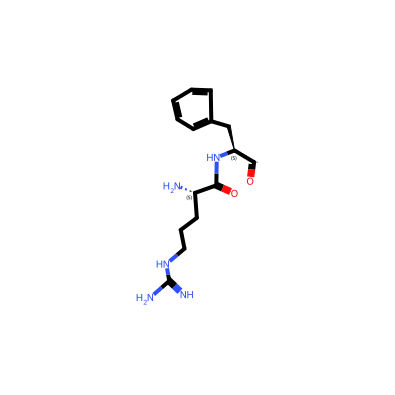 N=C(N)NCCC[C@H](N)C(=O)N[C@H]([C]=O)Cc1ccccc1